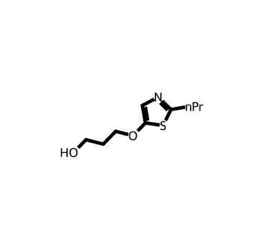 CCCc1ncc(OCCCO)s1